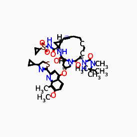 COc1ccc2c(O[C@@H]3C[C@H]4C(=O)N[C@]5(C(=O)NS(=O)(=O)C6CC6)C[C@H]5/C=C\CCCCC[C@H](NC(=O)N(C)C(C)(C)C)C(=O)N4C3)cc(C3=NC(C4CC4)CS3)nc2c1C